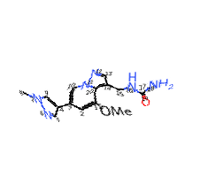 COc1cc(-c2cnn(C)c2)cn2ncc(CNC(N)=O)c12